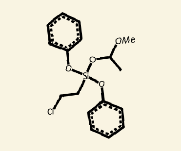 COC(C)O[Si](CCCl)(Oc1ccccc1)Oc1ccccc1